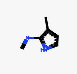 C=Nc1[nH]ccc1C